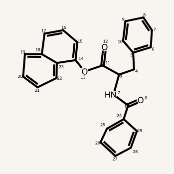 O=C(NC(Cc1ccccc1)C(=O)Oc1cccc2ccccc12)c1ccccc1